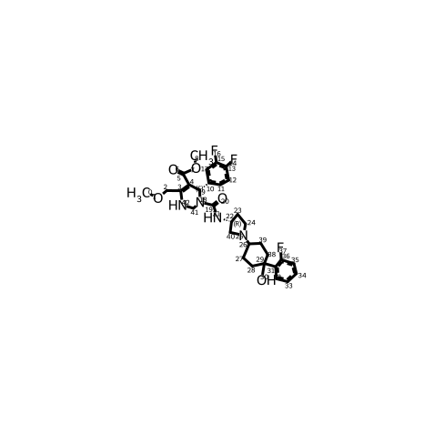 COCC1=C(C(=O)OC)[C@H](c2ccc(F)c(F)c2)N(C(=O)N[C@@H]2CCN(C3CCC(O)(c4ccccc4F)CC3)C2)CN1